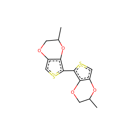 CC1COc2c(csc2-c2scc3c2OC(C)CO3)O1